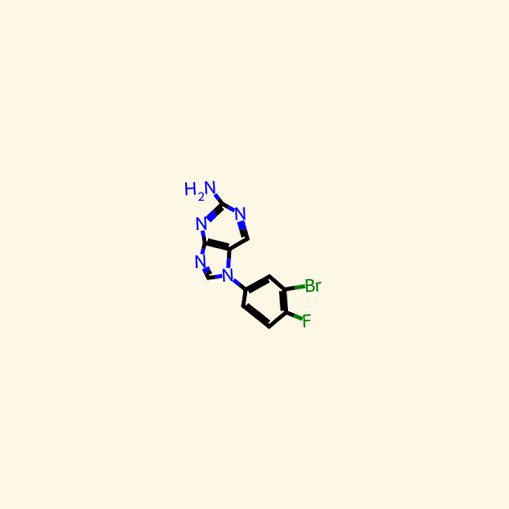 Nc1ncc2c(ncn2-c2ccc(F)c(Br)c2)n1